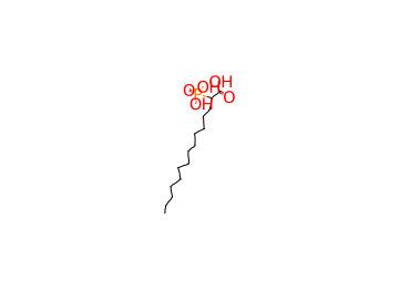 CCCCCCCCCCCCCC(C(=O)O)P(=O)(O)O